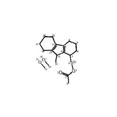 CC(=O)[O][Ti+2][CH]1CCCC2=C1C(C)C1=C2CCCC1.C[O-].C[O-]